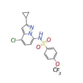 O=S(=O)(Nc1ccc(Cl)c2cc(C3CC3)nn12)c1ccc(OC(F)(F)F)cc1